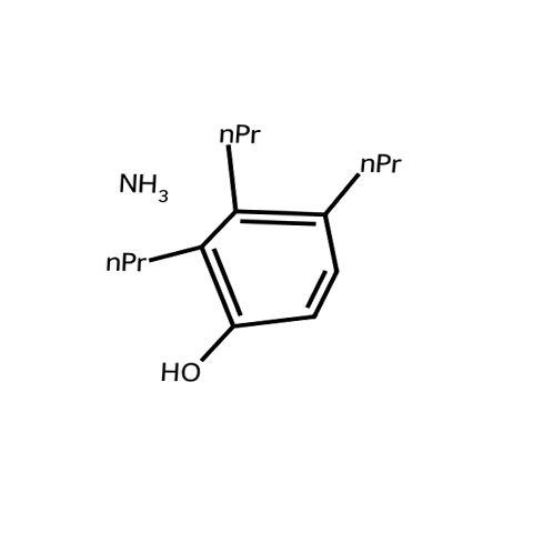 CCCc1ccc(O)c(CCC)c1CCC.N